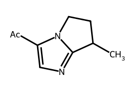 CC(=O)c1cnc2n1CCC2C